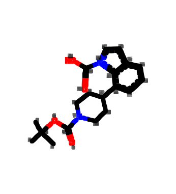 CC(C)(C)OC(=O)N1CCC(c2cccc3ccn(C(=O)O)c23)CC1